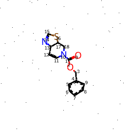 O=C(OCc1ccccc1)N1C=CC2N=CSC2C1